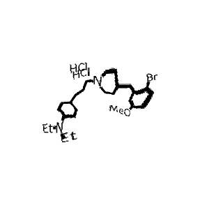 CCN(CC)C1CCC(CCCN2CCC(Cc3cc(OC)ccc3Br)CC2)CC1.Cl.Cl